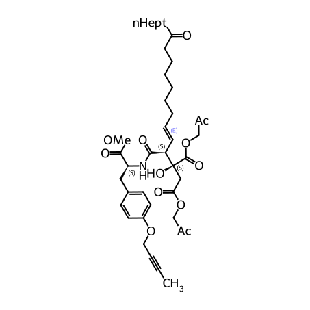 CC#CCOc1ccc(C[C@H](NC(=O)[C@@H](/C=C/CCCCCCC(=O)CCCCCCC)[C@@](O)(CC(=O)OCC(C)=O)C(=O)OCC(C)=O)C(=O)OC)cc1